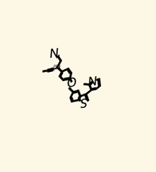 CC#C[C@@H](CC#N)c1ccc(OCc2ccc3scc(-c4cccnc4C)c3c2)cc1